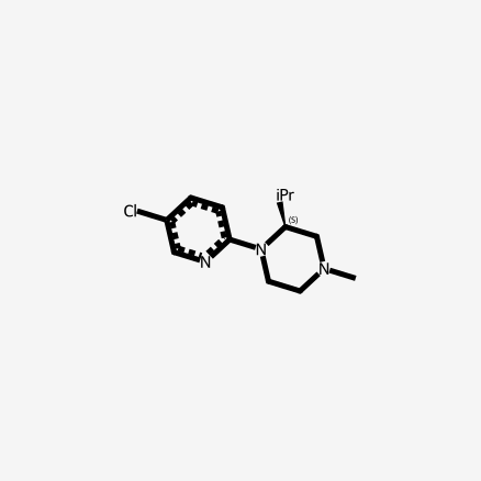 CC(C)[C@H]1CN(C)CCN1c1ccc(Cl)cn1